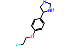 FCCOc1ccc(C2CNCN2)cc1